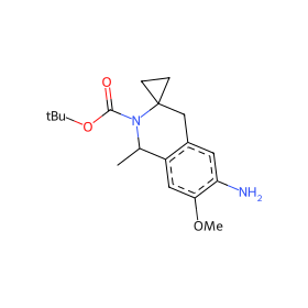 COc1cc2c(cc1N)CC1(CC1)N(C(=O)OC(C)(C)C)C2C